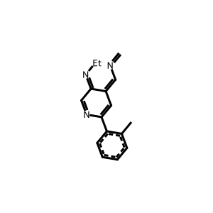 C=N/C=C1/C=C(c2ccccc2C)N=C/C1=N/CC